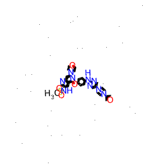 CS(=O)(=O)Nc1cnc2cc(N3CCOCC3)nc(O[C@H]3CC[C@@H](Nc4ncc(N5CCN(C6COC6)CC5)cn4)CC3)c2c1